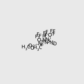 CC[C@@H]1C[C@H](Nc2ncc(N3CCOCC3)c(Cc3cc(C(F)(F)F)cc(C(F)(F)F)c3)n2)c2cc(C(F)(F)F)ccc2N1CCCCC(=O)OC